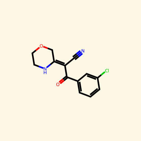 N#C/C(C(=O)c1cccc(Cl)c1)=C1\COCCN1